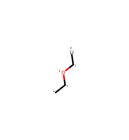 [Li][CH2]OCC